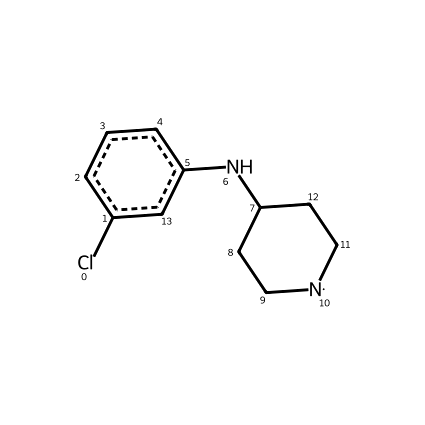 Clc1cccc(NC2CC[N]CC2)c1